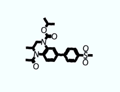 CC(=O)N1c2ccc(-c3ccc(S(C)(=O)=O)cc3)cc2N(C(=O)OC(C)C)CC1C